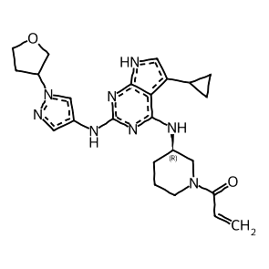 C=CC(=O)N1CCC[C@@H](Nc2nc(Nc3cnn(C4CCOC4)c3)nc3[nH]cc(C4CC4)c23)C1